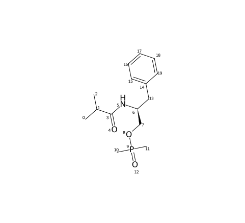 CC(C)C(=O)N[C@H](COP(C)(C)=O)Cc1ccccc1